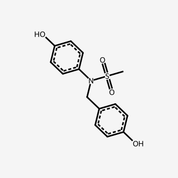 CS(=O)(=O)N(Cc1ccc(O)cc1)c1ccc(O)cc1